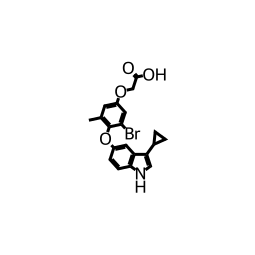 Cc1cc(OCC(=O)O)cc(Br)c1Oc1ccc2[nH]cc(C3CC3)c2c1